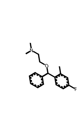 Cc1cc(F)ccc1C(OCCN(C)C)c1ccccc1